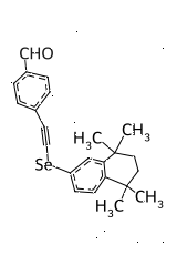 CC1(C)CCC(C)(C)c2cc([Se]C#Cc3ccc(C=O)cc3)ccc21